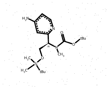 CN(C(=O)OC(C)(C)C)[C@@H](CO[Si](C)(C)C(C)(C)C)c1cc(N)ccn1